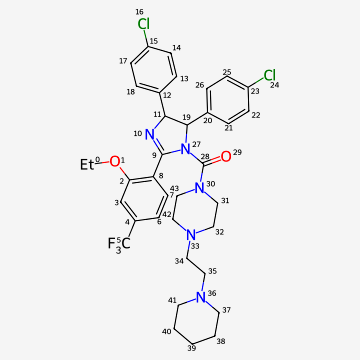 CCOc1cc(C(F)(F)F)ccc1C1=NC(c2ccc(Cl)cc2)C(c2ccc(Cl)cc2)N1C(=O)N1CCN(CCN2CCCCC2)CC1